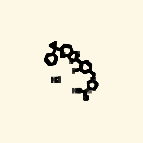 Cl.O=C(O)[C@@H]1CCN(Cc2ccc(-c3nc4ccc(C5(c6ccccc6)CC5)nc4s3)c(F)c2)C1